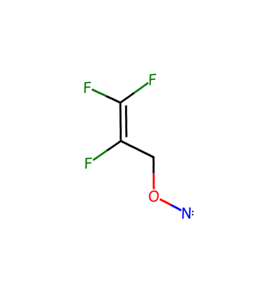 [N]OCC(F)=C(F)F